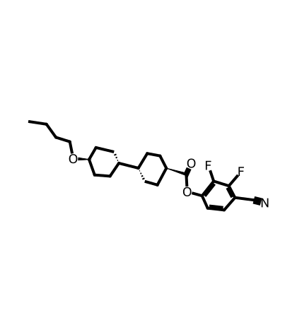 CCCCO[C@H]1CC[C@H]([C@H]2CC[C@H](C(=O)Oc3ccc(C#N)c(F)c3F)CC2)CC1